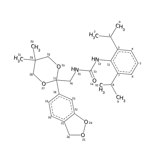 CC(C)c1cccc(C(C)C)c1NC(=O)NCC1(c2ccc3c(c2)OOC3)OCC(C)(C)CO1